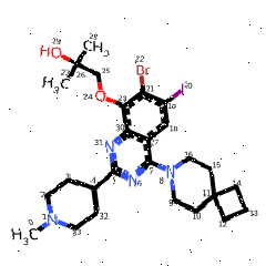 CN1CCC(c2nc(N3CCC4(CCC4)CC3)c3cc(I)c(Br)c(OCC(C)(C)O)c3n2)CC1